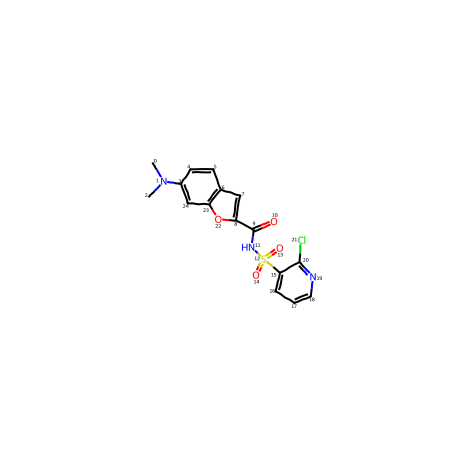 CN(C)c1ccc2cc(C(=O)NS(=O)(=O)c3cccnc3Cl)oc2c1